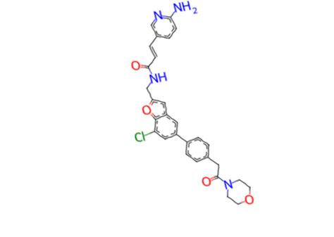 Nc1ccc(C=CC(=O)NCc2cc3cc(-c4ccc(CC(=O)N5CCOCC5)cc4)cc(Cl)c3o2)cn1